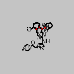 CN1CCN(C(=O)Cn2cc(Nc3nc4c(N5CC6CCC(C5)N6S(=O)(=O)Cc5cccc(Cl)c5)cccn4n3)cn2)CC1